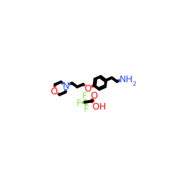 NCCc1ccc(OCCCN2CCOCC2)cc1.O=C(O)C(F)(F)F